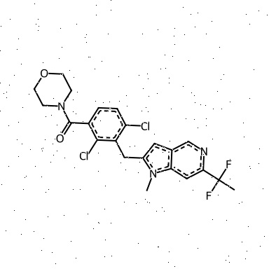 Cn1c(Cc2c(Cl)ccc(C(=O)N3CCOCC3)c2Cl)cc2cnc(C(C)(F)F)cc21